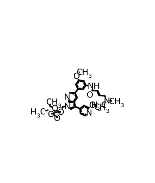 CCOP(=O)(OCC)OCn1cc(-c2ccnc(OC)c2)c2cc(-c3cc(NC(=O)C=CCN(C)C)cc(OC)c3)cnc21